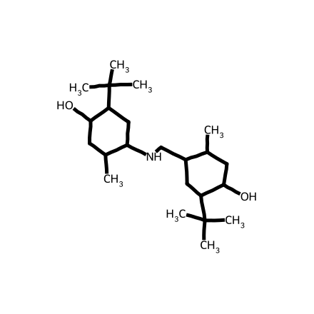 CC1CC(O)C(C(C)(C)C)CC1CNC1CC(C(C)(C)C)C(O)CC1C